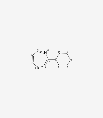 C1=CSC=C([C]2CCCCC2)N=C1